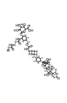 C[C@]12C=CC(=O)C=C1CC[C@@H]1[C@@H]2[C@@H](O)C[C@@]2(C)[C@H]1C[C@H]1O[C@@H](c3ccc(CC45C6C7C4C4C5C6C74NC(=O)OCc4ccc(O[C@@H]5O[C@H](C(=O)O)[C@@H](O)[C@H](O)[C@H]5O)c(NC(=O)CCNC(=O)CBr)c4)cc3)O[C@]12C(=O)CO